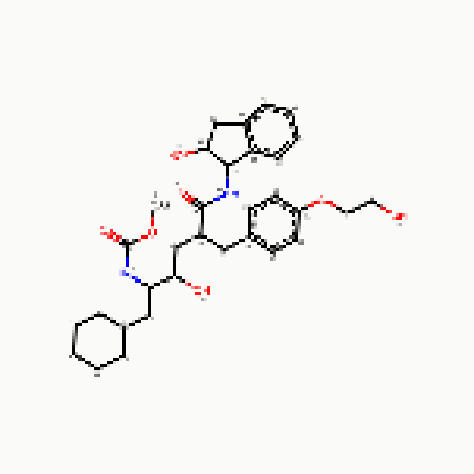 CC(C)(C)OC(=O)NC(CC1CCCCC1)C(O)CC(Cc1ccc(OCCO)cc1)C(=O)NC1c2ccccc2CC1O